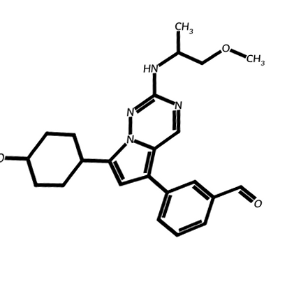 COCC(C)Nc1ncc2c(-c3cccc(C=O)c3)cc(C3CCC(O)CC3)n2n1